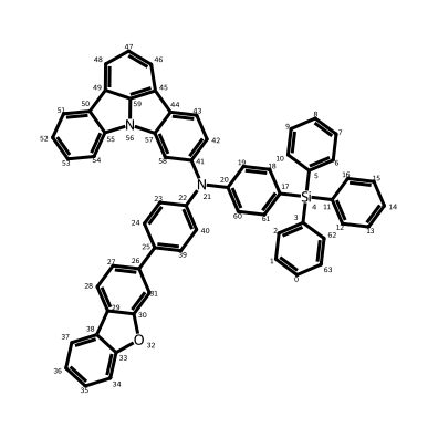 c1ccc([Si](c2ccccc2)(c2ccccc2)c2ccc(N(c3ccc(-c4ccc5c(c4)oc4ccccc45)cc3)c3ccc4c5cccc6c7ccccc7n(c4c3)c65)cc2)cc1